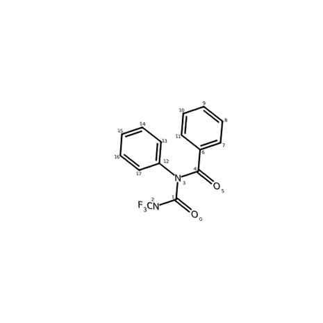 O=C(NC(F)(F)F)N(C(=O)c1ccccc1)c1ccccc1